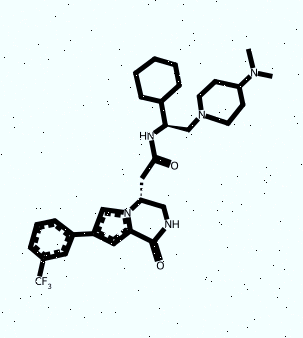 CN(C)C1CCN(C[C@@H](NC(=O)C[C@@H]2CNC(=O)c3cc(-c4cccc(C(F)(F)F)c4)cn32)C2CCCCC2)CC1